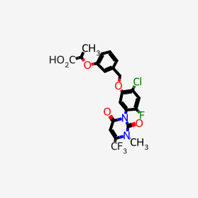 CC(Oc1cccc(COc2cc(-n3c(=O)cc(C(F)(F)F)n(C)c3=O)c(F)cc2Cl)c1)C(=O)O